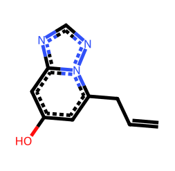 C=CCc1cc(O)cc2ncnn12